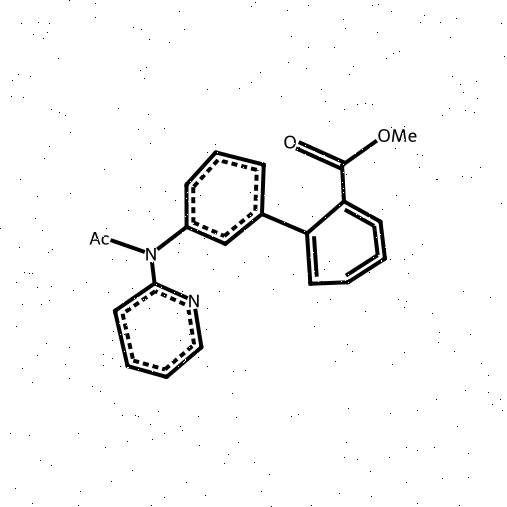 COC(=O)C1=C=C=CC=C1c1cccc(N(C(C)=O)c2ccccn2)c1